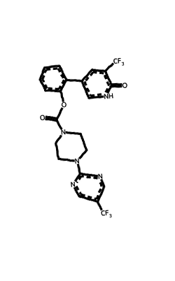 O=C(Oc1ccccc1-c1c[nH]c(=O)c(C(F)(F)F)c1)N1CCN(c2ncc(C(F)(F)F)cn2)CC1